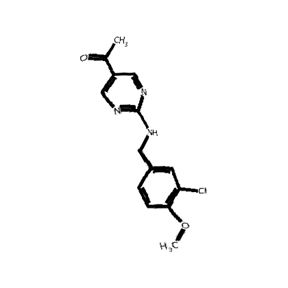 COc1ccc(CNc2ncc(C(C)=O)cn2)cc1Cl